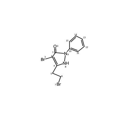 O=c1c(Br)c(CCBr)[nH]n1-c1ccccc1